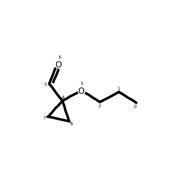 CCCOC1([C]=O)CC1